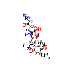 CC1=CC(=O)C(C(C)(C)CC(=O)NC(CCC(=O)C=[N+]=[N-])C(=O)O)=C(C)C1=O